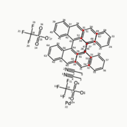 CC#N.CC#N.O=S(=O)([O-])C(F)(F)F.O=S(=O)([O-])C(F)(F)F.[Pd+2].c1ccc(P(c2ccccc2)c2ccc3ccccc3c2-c2c(P(c3ccccc3)c3ccccc3)ccc3ccccc23)cc1